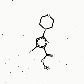 COC(=O)c1sc(N2CCOCC2)cc1Br